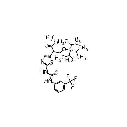 COC(=O)C(CO[Si](C(C)C)(C(C)C)C(C)C)c1cnc(NC(=O)Nc2cccc(C(F)(F)F)c2)s1